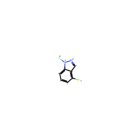 Fc1cccc2c1[c]nn2F